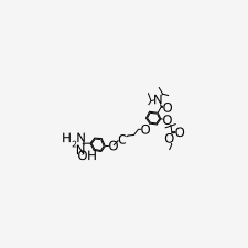 CCOC(=O)C(C)(C)Oc1cc(OCCCCCOc2ccc(/C(N)=N\O)cc2)ccc1C(=O)N(C(C)C)C(C)C